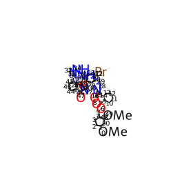 COc1ccc(COC(=O)C2CCCCC2C(=O)N2CCc3c(Br)ccc(OC(C)/C(N)=C/N(C)N)c3C2CN2Cc3ccccc3C2=O)c(OC)c1